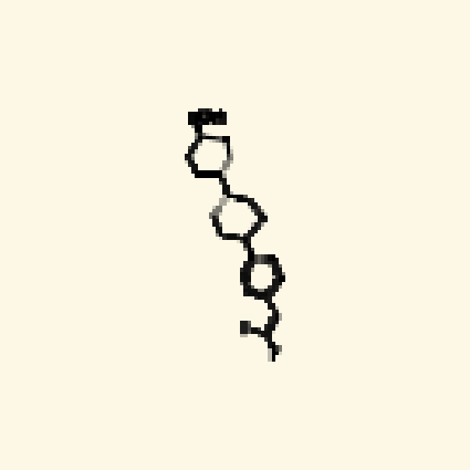 CCCCCCCC[C@H]1CC[C@H]([C@H]2CC[C@H](c3ccc(C=C(F)F)cc3)CC2)CC1